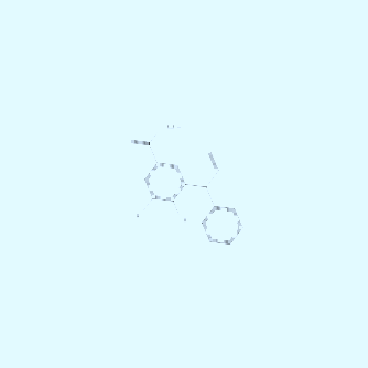 C=CC(c1ccccc1)c1cc(C(=O)OC)cc(Br)c1O